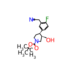 CC(C)(C)OC(=O)N1CC[C@@H](c2ccc(F)c(CC#N)c2)[C@@H](CO)C1